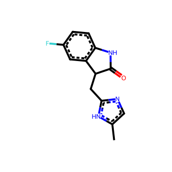 Cc1cnc(CC2C(=O)Nc3ccc(F)cc32)[nH]1